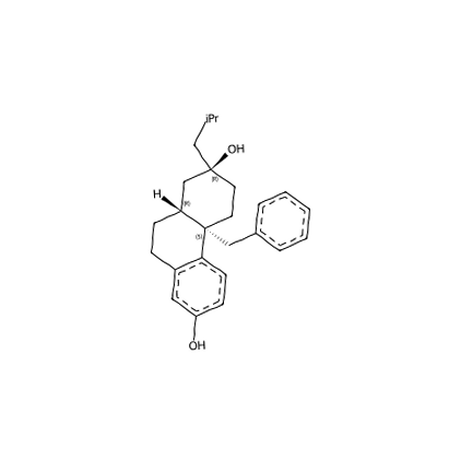 CC(C)C[C@]1(O)CC[C@@]2(Cc3ccccc3)c3ccc(O)cc3CC[C@@H]2C1